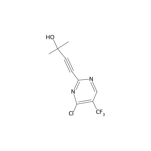 CC(C)(O)C#Cc1ncc(C(F)(F)F)c(Cl)n1